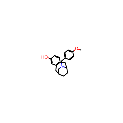 COc1ccc(CN2CC3CCC2Cc2ccc(O)cc2C3)cc1